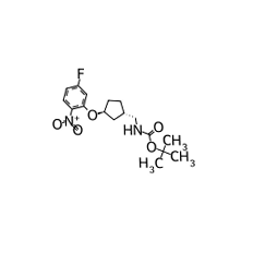 CC(C)(C)OC(=O)NC[C@H]1CC[C@H](Oc2cc(F)ccc2[N+](=O)[O-])C1